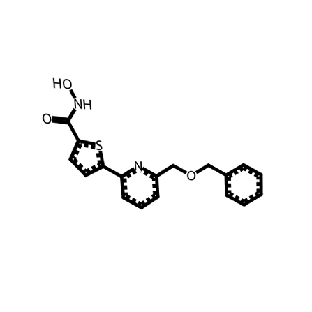 O=C(NO)c1ccc(-c2cccc(COCc3ccccc3)n2)s1